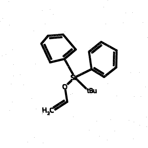 C=CO[Si](c1ccccc1)(c1ccccc1)C(C)(C)C